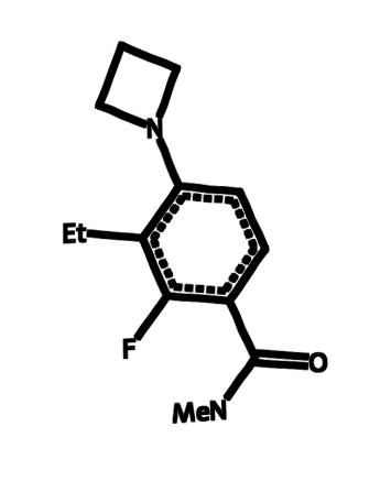 CCc1c(N2CCC2)ccc(C(=O)NC)c1F